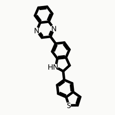 c1ccc2nc(-c3ccc4c(c3)NC(c3ccc5sccc5c3)C4)cnc2c1